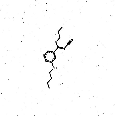 CCCCNc1cncc(C(=NC#N)OCCC)c1